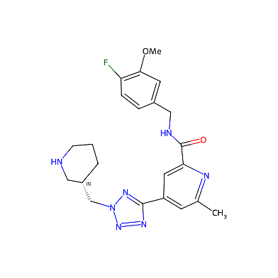 COc1cc(CNC(=O)c2cc(-c3nnn(C[C@H]4CCCNC4)n3)cc(C)n2)ccc1F